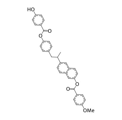 COc1ccc(C(=O)Oc2ccc3cc(C(C)Cc4ccc(OC(=O)c5ccc(O)cc5)cc4)ccc3c2)cc1